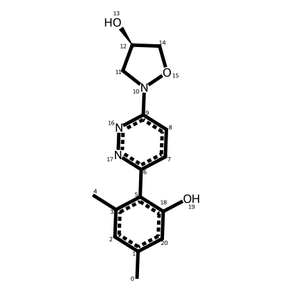 Cc1cc(C)c(-c2ccc(N3C[C@@H](O)CO3)nn2)c(O)c1